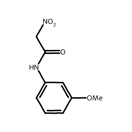 COc1cccc(NC(=O)C[N+](=O)[O-])c1